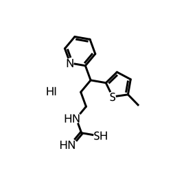 Cc1ccc(C(CCNC(=N)S)c2ccccn2)s1.I